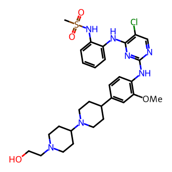 COc1cc(C2CCN(C3CCN(CCO)CC3)CC2)ccc1Nc1ncc(Cl)c(Nc2ccccc2NS(C)(=O)=O)n1